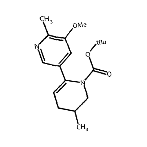 COc1cc(C2=CCC(C)CN2C(=O)OC(C)(C)C)cnc1C